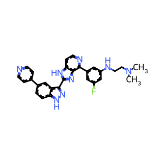 CN(C)CCNc1cc(F)cc(-c2nccc3[nH]c(-c4n[nH]c5ccc(-c6ccncc6)cc45)nc23)c1